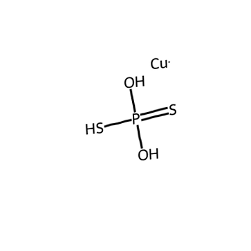 OP(O)(=S)S.[Cu]